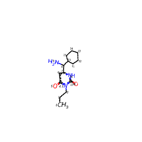 CCCn1c(=O)cc(C(N)C2CCCCC2)[nH]c1=O